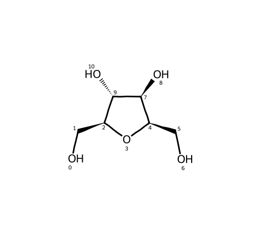 OC[C@@H]1O[C@H](CO)[C@H](O)[C@H]1O